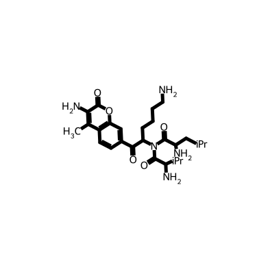 Cc1c(N)c(=O)oc2cc(C(=O)C(CCCCN)N(C(=O)C(N)CC(C)C)C(=O)C(N)C(C)C)ccc12